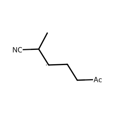 CC(=O)CC[CH]C(C)C#N